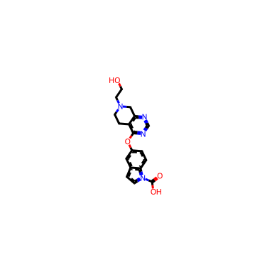 O=C(O)n1ccc2cc(Oc3ncnc4c3CCN(CCO)C4)ccc21